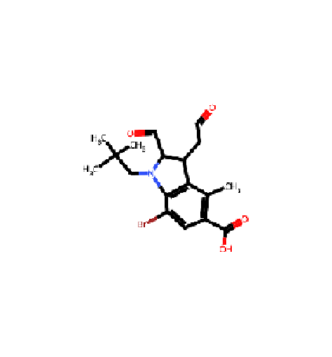 Cc1c(C(=O)O)cc(Br)c2c1C(CC=O)C(C=O)N2CC(C)(C)C